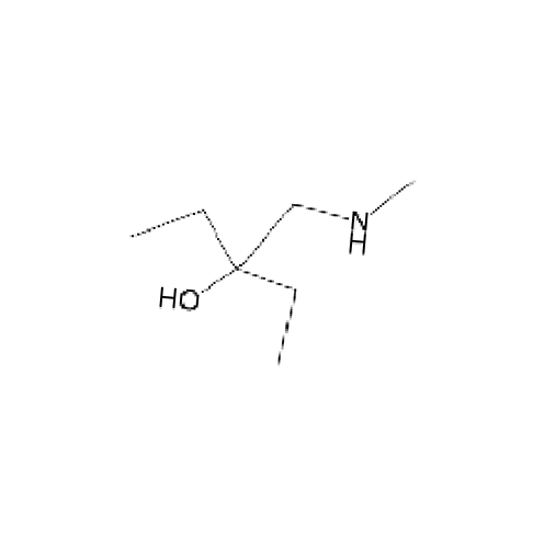 CCC(O)(CC)CNC